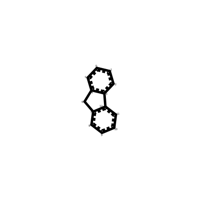 [c]1ccc2c(c1)[CH]c1ccccc1-2